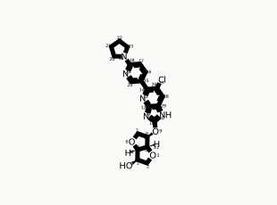 O[C@@H]1CO[C@H]2[C@@H]1OC[C@H]2Oc1nc2nc(-c3ccc(N4CCCC4)nc3)c(Cl)cc2[nH]1